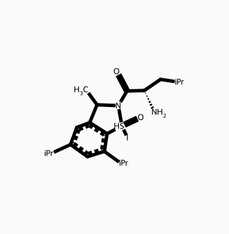 CC(C)C[C@H](N)C(=O)N1C(C)c2cc(C(C)C)cc(C(C)C)c2[SH]1(=O)I